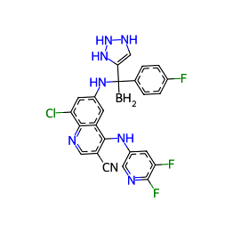 BC(Nc1cc(Cl)c2ncc(C#N)c(Nc3cnc(F)c(F)c3)c2c1)(C1=CNNN1)c1ccc(F)cc1